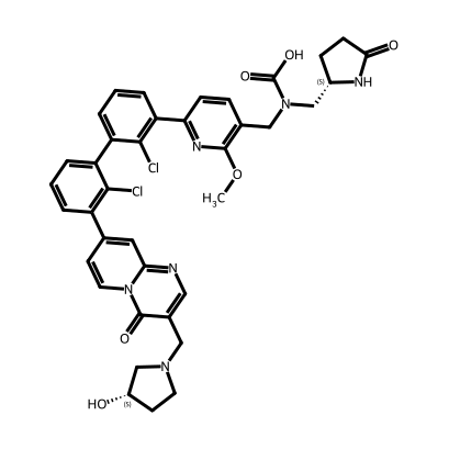 COc1nc(-c2cccc(-c3cccc(-c4ccn5c(=O)c(CN6CC[C@H](O)C6)cnc5c4)c3Cl)c2Cl)ccc1CN(C[C@@H]1CCC(=O)N1)C(=O)O